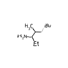 CCC(N)C(C)C[C@@H](C)CC